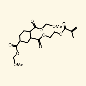 C=C(C)C(=O)OCCOC(=O)C1CC(C(=O)OCOC)CCC1C(=O)OCOC